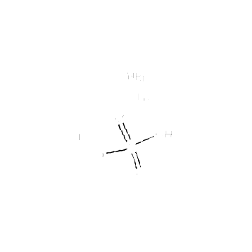 Br.O=S(=O)(O)O.[Fe].[Fe]